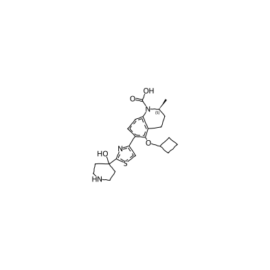 C[C@H]1CCc2c(ccc(-c3csc(C4(O)CCNCC4)n3)c2OC2CCC2)N1C(=O)O